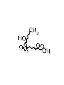 CCCCCC(O)CCN1C(=O)CSC1CCC=CC(=O)CC(=O)O